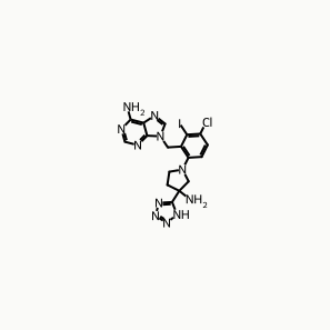 Nc1ncnc2c1ncn2Cc1c(N2CCC(N)(c3nnn[nH]3)C2)ccc(Cl)c1I